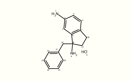 Cl.Nc1ccc2c(c1)C(N)(Cc1ccccc1)CC2